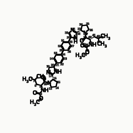 COC(=O)N[C@@H](CC(C)C)C(=O)N1CCC[C@H]1C1=NCC(c2ccc(-c3ccc(-c4cnc([C@@H]5CCCN5C(=O)[C@H](CC(C)C)NC(=O)OC)[nH]4)cc3)cc2)N1